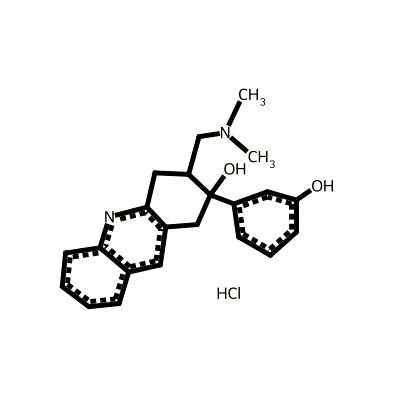 CN(C)CC1Cc2nc3ccccc3cc2CC1(O)c1cccc(O)c1.Cl